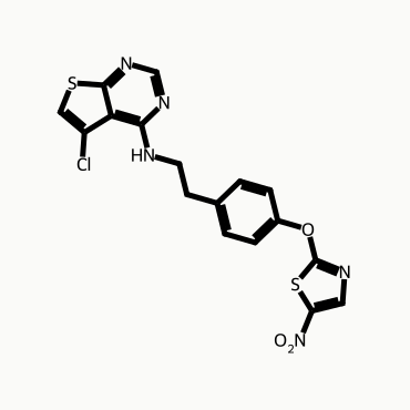 O=[N+]([O-])c1cnc(Oc2ccc(CCNc3ncnc4scc(Cl)c34)cc2)s1